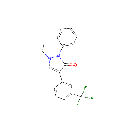 CCn1cc(-c2cccc(C(F)(F)F)c2)c(=O)n1-c1ccccc1